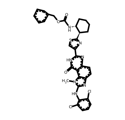 Cn1c(Nc2c(Cl)cccc2Cl)nc2ccc3nc(-c4csc([C@@H]5CCCC[C@H]5NC(=O)OCc5ccccc5)n4)[nH]c(=O)c3c21